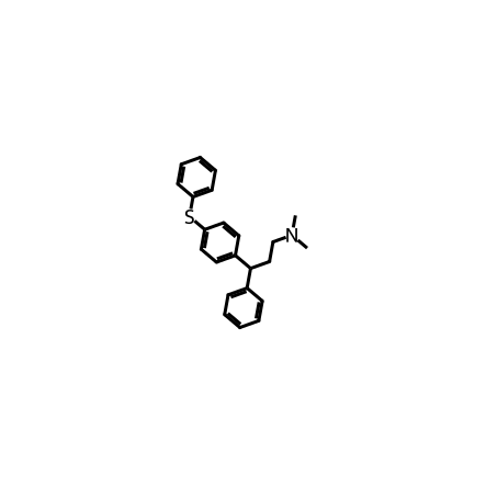 CN(C)CCC(c1ccccc1)c1ccc(Sc2ccccc2)cc1